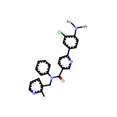 CCCN(C(C)=O)c1ccc(-c2ccc(C(=O)N(Cc3cccnc3C)c3ccccc3)cn2)cc1Cl